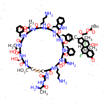 CC(O)[C@@H]1NC(=O)[C@H](Cc2ccccc2)NC(=O)[C@H](C(C)O)NC(=O)[C@H](CCCCN)NC(=O)[C@H](Cc2c[nH]c3ccccc23)NC(=O)[C@H](Cc2ccccc2)NC(=O)[C@H](Cc2ccccc2)NC(=O)[C@H](CC(N)=O)NC(=O)[C@H](CCCCN)NC(=O)[C@@H](NC(=O)CNC(=O)[C@H](C)N)CSSC[C@@H](C(=O)O)NC(=O)[C@H](CO)NC1=O.CCCCC(=O)OCC(=O)[C@H]1[C@H](C)C[C@H]2[C@@H]3C[C@H](F)C4=CC(=O)C=C[C@]4(C)[C@@]3(F)[C@@H](O)C[C@@]21C